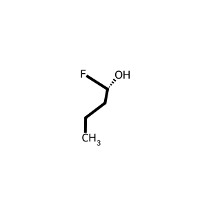 CCC[C@@H](O)F